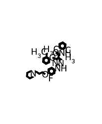 CCc1ccccc1Oc1nc(Nc2ccc(OCCCN3CCCCC3)c(F)c2)ncc1C(=O)Nc1c(C)cccc1C